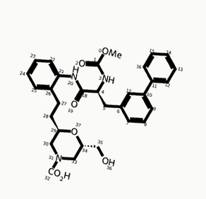 COC(=O)N[C@@H](Cc1cccc(-c2ccccc2)c1)C(=O)Nc1ccccc1CC[C@@H]1CN(C(=O)O)C[C@@H](CO)O1